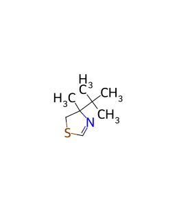 CC(C)(C)C1(C)CSC=N1